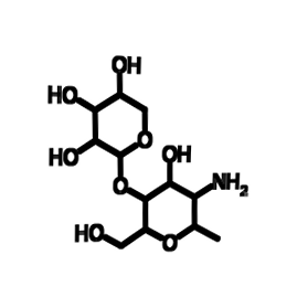 CC1OC(CO)C(OC2OCC(O)C(O)C2O)C(O)C1N